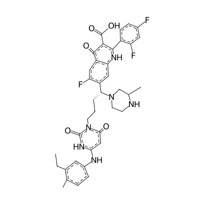 CCc1cc(Nc2cc(=O)n(CCC[C@H](c3cc4[nH]c(-c5ccc(F)cc5F)c(C(=O)O)c(=O)c4cc3F)N3CCNC(C)C3)c(=O)[nH]2)ccc1C